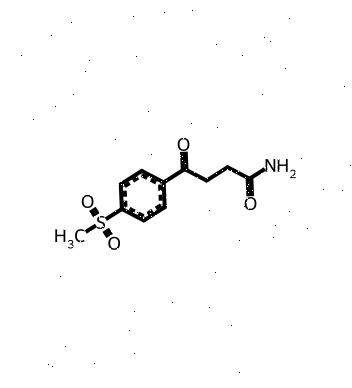 CS(=O)(=O)c1ccc(C(=O)CCC(N)=O)cc1